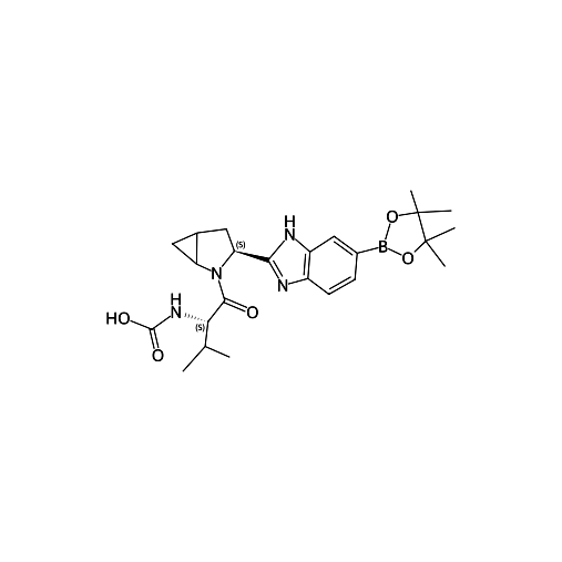 CC(C)[C@H](NC(=O)O)C(=O)N1C2CC2C[C@H]1c1nc2ccc(B3OC(C)(C)C(C)(C)O3)cc2[nH]1